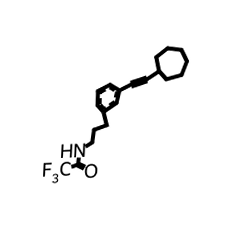 O=C(NCCCc1cccc(C#CC2CCCCCC2)c1)C(F)(F)F